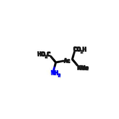 CC(=O)C(N)C(=O)O.CNCC(=O)O